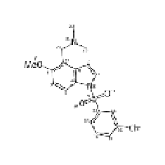 COc1ccc2c(ccn2S(=O)(=O)c2cccc(Cl)c2)c1CN(C)C